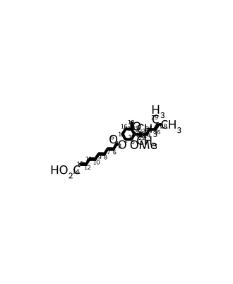 COC1C(OC(=O)/C=C/C=C/C=C/C=C/C(=O)O)CCC2(CO2)C1C(C)(C)CCC=C(C)C